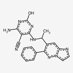 CC(Nc1nc(O)nc(N)c1C#N)c1cc2nccn2nc1-c1ccccc1